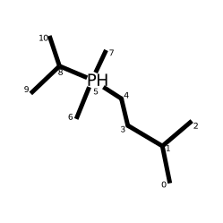 CC(C)CC[PH](C)(C)C(C)C